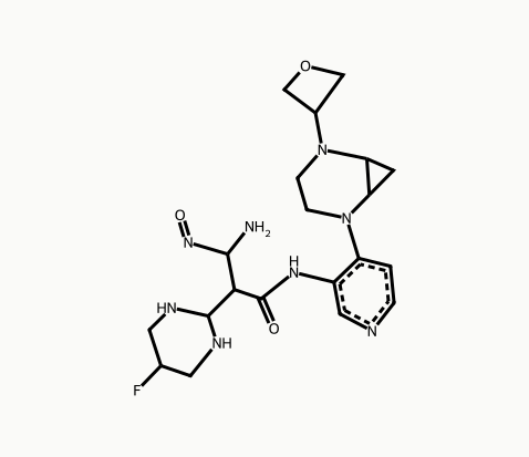 NC(N=O)C(C(=O)Nc1cnccc1N1CCN(C2COC2)C2CC21)C1NCC(F)CN1